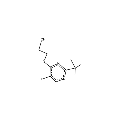 CC(C)(C)c1ncc(F)c(OCCO)n1